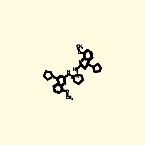 COc1cccc2c(N3CCCC3)cc(N[C@@H]3CCCC[C@H]3Nc3cc(N4CCCC4)c4cccc(OC)c4n3)nc12